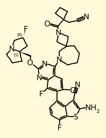 N#CCC1(C(=O)N2CC3(CCCCN(c4nc(OC[C@@]56CCCN5C[C@H](F)C6)nc5c(F)c(-c6ccc(F)c7sc(N)c(C#N)c67)c(Cl)cc45)C3)C2)CCC1